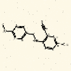 COc1ccc(CNc2ccc(Cl)nc2C#N)cc1